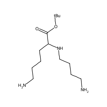 CC(C)(C)OC(=O)C(CCCCN)NCCCCN